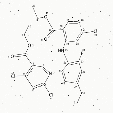 CCOC(=O)c1cnc(Cl)cc1Cl.CCOC(=O)c1cnc(Cl)cc1Nc1ccc(CC)cc1F